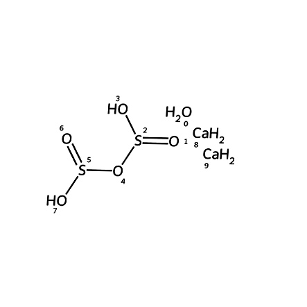 O.O=S(O)OS(=O)O.[CaH2].[CaH2]